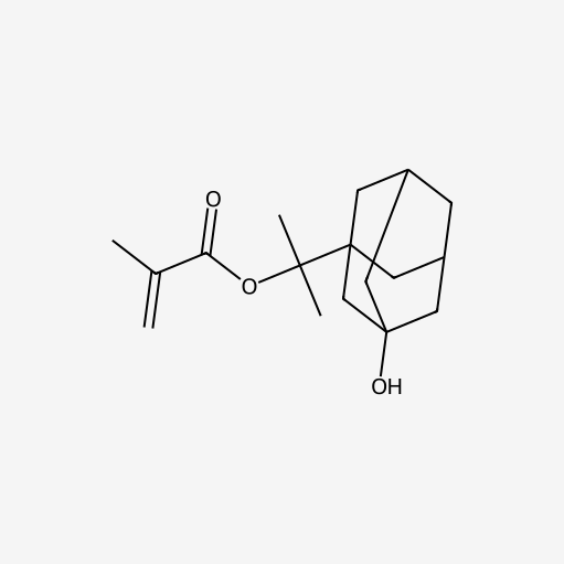 C=C(C)C(=O)OC(C)(C)C12CC3CC(CC(O)(C3)C1)C2